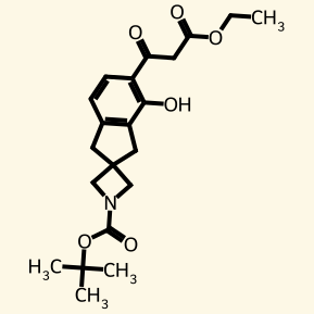 CCOC(=O)CC(=O)c1ccc2c(c1O)CC1(C2)CN(C(=O)OC(C)(C)C)C1